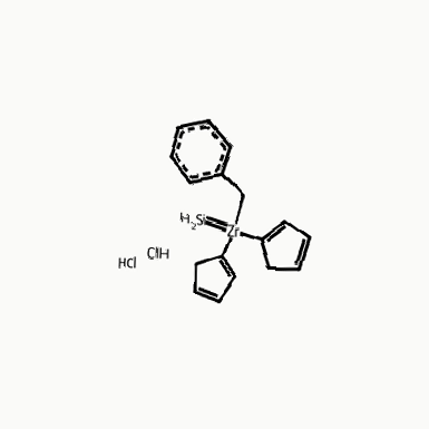 Cl.Cl.[SiH2]=[Zr]([CH2]c1ccccc1)([C]1=CC=CC1)[C]1=CC=CC1